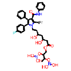 CC(C)c1c(C(=O)Nc2ccccc2)c(-c2ccccc2)c(-c2ccc(F)cc2)n1CCC(O)CC(O)CC(=O)OCC(ON(O)O)C(C)ON(O)O